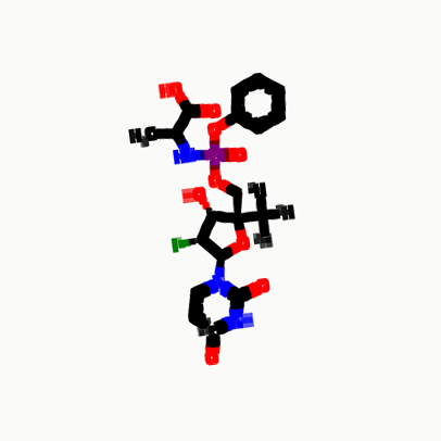 [2H]C([2H])([2H])[C@]1(COP(=O)(NC(C)C(=O)O)Oc2ccccc2)O[C@@H](n2cc[13c](=O)[nH]c2=O)[C@H](F)[C@@H]1O